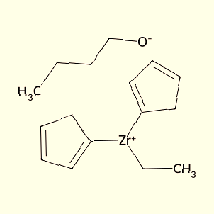 CCCC[O-].C[CH2][Zr+]([C]1=CC=CC1)[C]1=CC=CC1